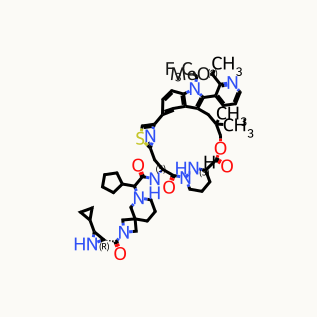 CO[C@@H](C)c1ncccc1-c1c2c3cc(ccc3n1CC(F)(F)F)-c1csc(n1)C[C@H](NC(=O)C(C1CCCC1)N1CCCC3(CN(C(=O)[C@@H]4NC4C4CC4)C3)C1)C(=O)N1CCC[C@H](N1)C(=O)OCC(C)(C)C2